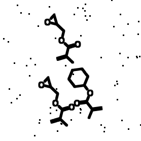 C=C(C)C(=O)OC1CCCCC1.C=C(C)C(=O)OCC1CO1.C=C(C)C(=O)OCC1CO1